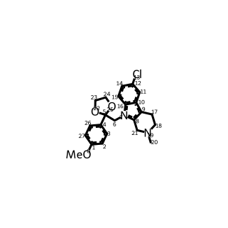 COc1ccc(C2(Cn3c4c(c5cc(Cl)ccc53)CCN(C)C4)OCCO2)cc1